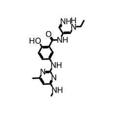 CCN/C=C(\C=N)NC(=O)c1cc(Nc2nc(C)cc(NC)n2)ccc1O